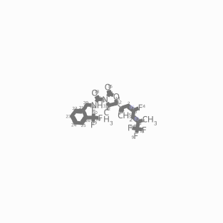 C=C(/C=C(F)\C=C(/C)C(F)(F)F)[C@H]1OC(=O)N(C(=O)NCc2ccccc2C(F)(F)F)[C@H]1C